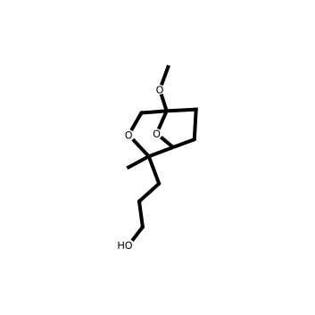 COC12CCC(O1)C(C)(CCCO)OC2